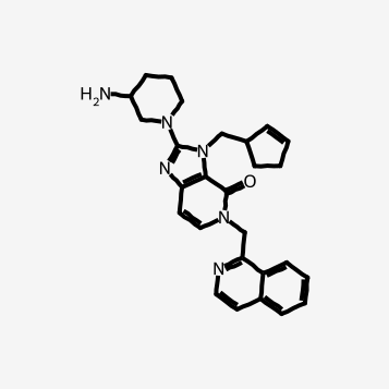 NC1CCCN(c2nc3ccn(Cc4nccc5ccccc45)c(=O)c3n2CC2C=CCC2)C1